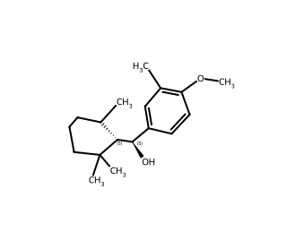 COc1ccc([C@@H](O)[C@H]2C(C)CCCC2(C)C)cc1C